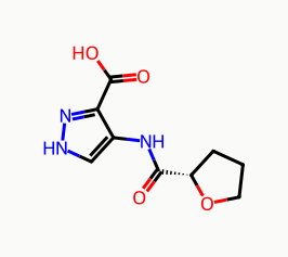 O=C(O)c1n[nH]cc1NC(=O)[C@@H]1CCCO1